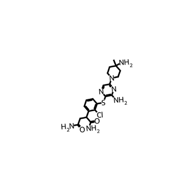 CC1(N)CCN(c2cnc(Sc3cccc(C(CC(N)=O)C(N)=O)c3Cl)c(N)n2)CC1